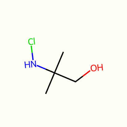 CC(C)(CO)NCl